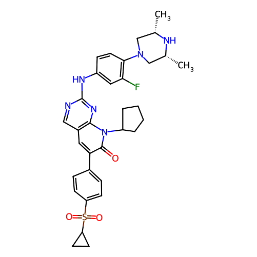 C[C@@H]1CN(c2ccc(Nc3ncc4cc(-c5ccc(S(=O)(=O)C6CC6)cc5)c(=O)n(C5CCCC5)c4n3)cc2F)C[C@H](C)N1